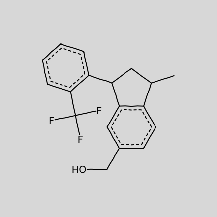 CC1CC(c2ccccc2C(F)(F)F)c2cc(CO)ccc21